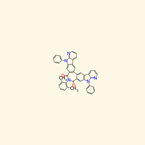 Cc1cccc(C)c1-n1c(=O)c2cc3c(cc2c2cc4c5cccnc5n(-c5ccccc5)c4cc2c1=O)c1cccnc1n3-c1ccccc1